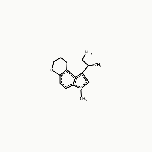 CC(CN)c1cn(C)c2ccc3c(c12)CCCO3